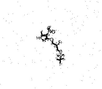 Cc1[nH]nc(OC[C@@H](F)CO[Si](C)(C)C(C)(C)C)c1[N+](=O)[O-]